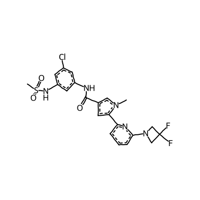 Cn1cc(C(=O)Nc2cc(Cl)cc(NS(C)(=O)=O)c2)cc1-c1cccc(N2CC(F)(F)C2)n1